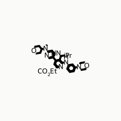 CCOC(=O)c1cc(-c2ccc(N(C)C3CCOCC3)nc2)c(C(=N)C(C)C)c(Nc2cccc(N3CCOCC3)c2)n1